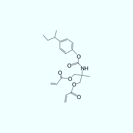 C=CC(=O)OCC(C)(COC(=O)C=C)NC(=O)Oc1ccc(C(C)CC)cc1